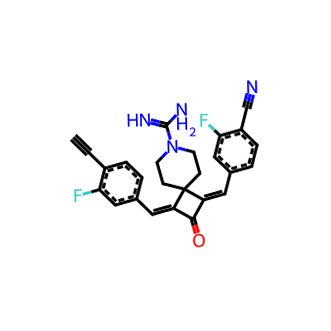 C#Cc1ccc(/C=C2/C(=O)/C(=C/c3ccc(C#N)c(F)c3)C23CCN(C(=N)N)CC3)cc1F